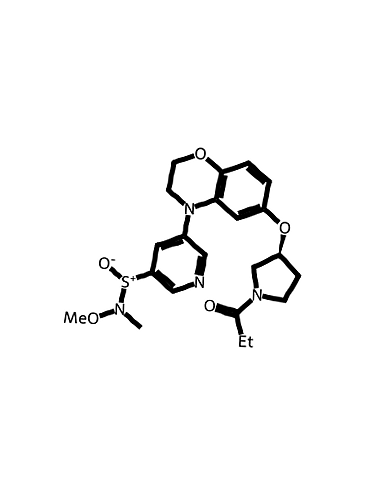 CCC(=O)N1CC[C@H](Oc2ccc3c(c2)N(c2cncc([S+]([O-])N(C)OC)c2)CCO3)C1